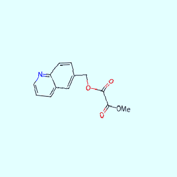 COC(=O)C(=O)OCc1ccc2ncccc2c1